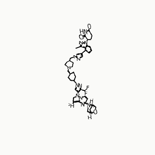 [2H]C1=C2N=C(N3C[C@H]4C[C@@H]3CO4)C=CN2N(c2cn(C3CCC(CN4CCC(Cn5cc(-c6cccc7c6c(C)nn7C6CCC(=O)NC6=O)cn5)CC4)CC3)nc2C(F)F)C1